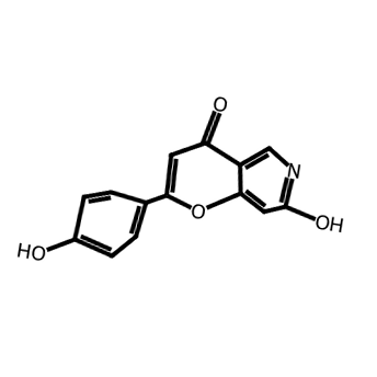 O=c1cc(-c2ccc(O)cc2)oc2cc(O)ncc12